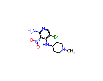 CN1CCC(Nc2c(Br)cnc(N)c2[N+](=O)[O-])CC1